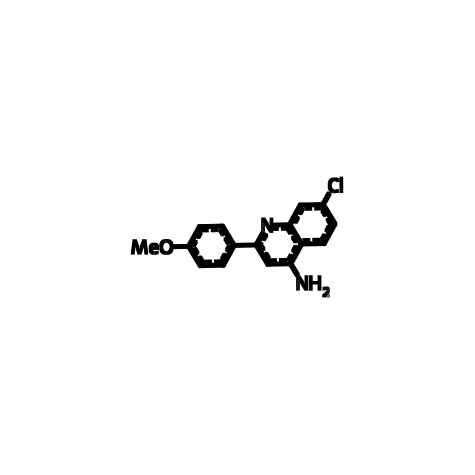 COc1ccc(-c2cc(N)c3ccc(Cl)cc3n2)cc1